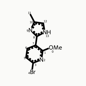 COc1nc(Br)ccc1-c1nc(C)c[nH]1